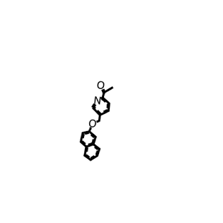 CC(=O)c1ccc(COc2ccc3ccccc3c2)cn1